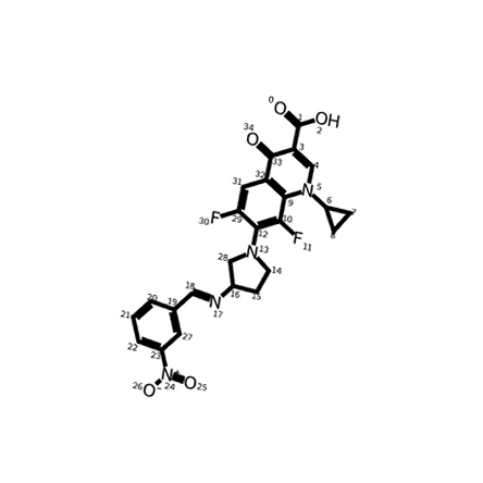 O=C(O)c1cn(C2CC2)c2c(F)c(N3CCC(N=Cc4cccc([N+](=O)[O-])c4)C3)c(F)cc2c1=O